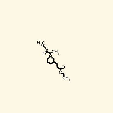 CCOC(=O)CCC1CCCN(C(C)C(=O)OCC)C1